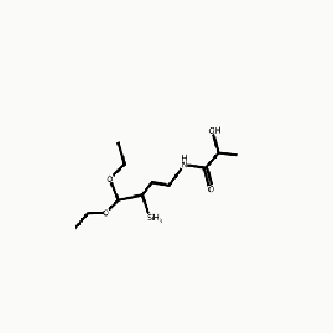 CCOC(OCC)C([SiH3])CCNC(=O)C(C)O